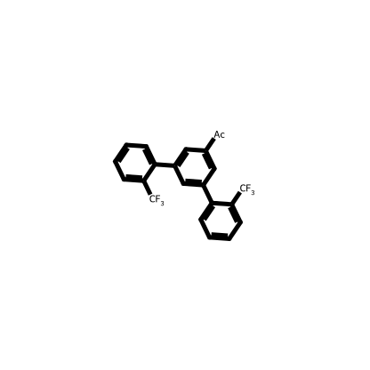 CC(=O)c1cc(-c2ccccc2C(F)(F)F)cc(-c2ccccc2C(F)(F)F)c1